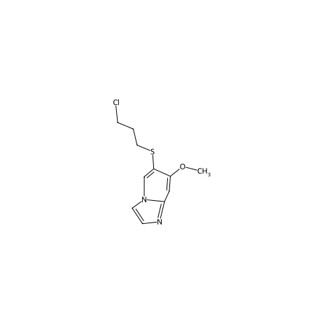 COc1cc2nccn2cc1SCCCCl